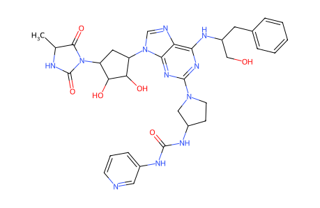 CC1NC(=O)N(C2CC(n3cnc4c(NC(CO)Cc5ccccc5)nc(N5CCC(NC(=O)Nc6cccnc6)C5)nc43)C(O)C2O)C1=O